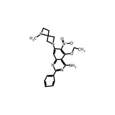 CCOc1c([N+](=O)[O-])c(N2CC3(CCN3C)C2)cc2nc(-c3ccccc3)nc(N)c12